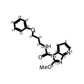 COc1nc2ncccc2n1C(=O)NCCCOc1ccccc1